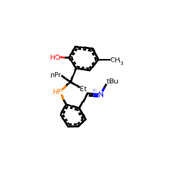 CCCC(CC)(Pc1ccccc1/C=N/C(C)(C)C)c1cc(C)ccc1O